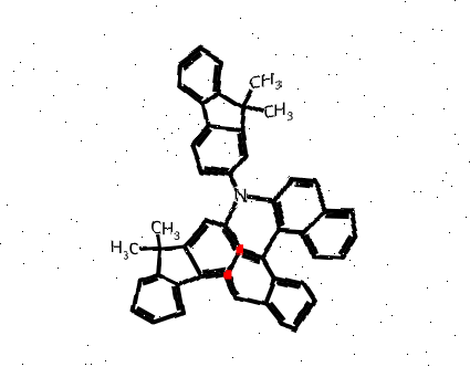 CC1(C)c2ccccc2-c2ccc(N(c3ccc4c(c3)C(C)(C)c3ccccc3-4)c3ccc4ccccc4c3-c3cccc4ccccc34)cc21